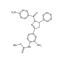 CC(C)(C)OC(=O)Nc1ccc(C2=NN(C(=O)c3ccc([N+](=O)[O-])cc3)C(c3ccccc3)C2)cc1[N+](=O)[O-]